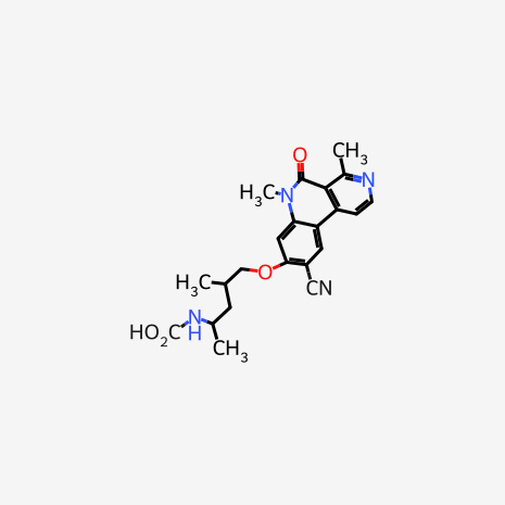 Cc1nccc2c1c(=O)n(C)c1cc(OCC(C)CC(C)NC(=O)O)c(C#N)cc21